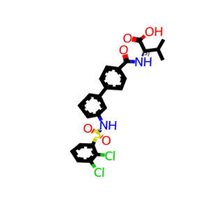 CC(C)[C@H](NC(=O)c1ccc(-c2cccc(NS(=O)(=O)c3cccc(Cl)c3Cl)c2)cc1)C(=O)O